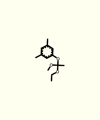 CCOC(C)(OC)Oc1cc(C)[c]c(C)c1